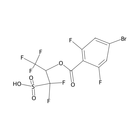 O=C(OC(C(F)(F)F)C(F)(F)S(=O)(=O)O)c1c(F)cc(Br)cc1F